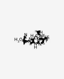 Cc1nn(C2C[C@@]2(C)C#N)cc1Nc1ncc(C(F)(F)F)c(NC2(C)CC2)n1